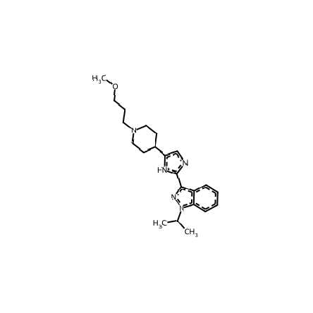 COCCCN1CCC(c2cnc(-c3nn(C(C)C)c4ccccc34)[nH]2)CC1